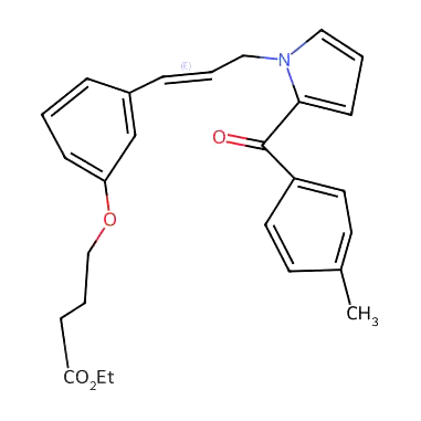 CCOC(=O)CCCOc1cccc(/C=C/Cn2cccc2C(=O)c2ccc(C)cc2)c1